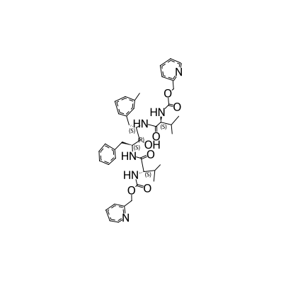 Cc1cccc(C[C@H](NC(=O)[C@@H](NC(=O)OCc2ccccn2)C(C)C)[C@H](O)[C@H](Cc2ccccc2)NC(=O)[C@@H](NC(=O)OCc2ccccn2)C(C)C)c1